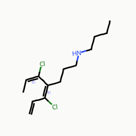 C=C/C(Cl)=C(CCCNCCCC)\C(Cl)=C/C